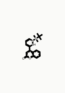 CC(C)(C)[Si](C)(C)N1BC(c2cc(=O)oc3ccccc23)=CC=C1